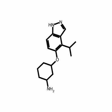 CC(C)c1c(OC2CCCC(N)C2)ccc2[nH]ncc12